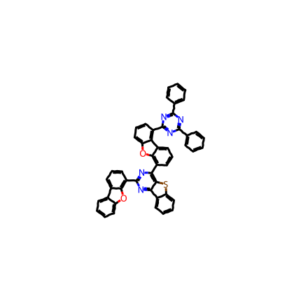 c1ccc(-c2nc(-c3ccccc3)nc(-c3cccc4oc5c(-c6nc(-c7cccc8c7oc7ccccc78)nc7c6sc6ccccc67)cccc5c34)n2)cc1